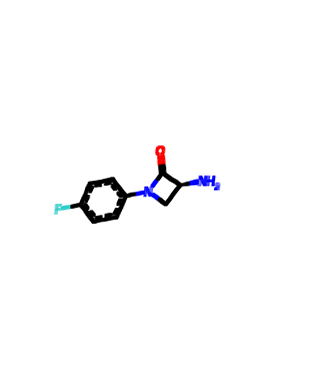 N[C@H]1CN(c2ccc(F)cc2)C1=O